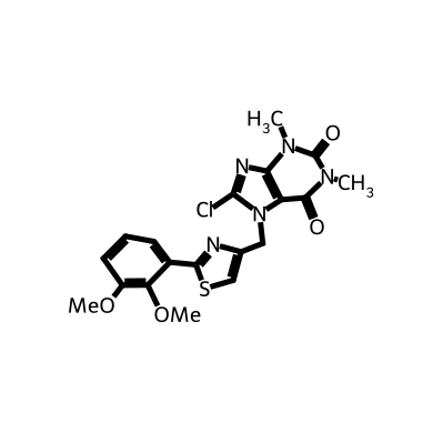 COc1cccc(-c2nc(Cn3c(Cl)nc4c3c(=O)n(C)c(=O)n4C)cs2)c1OC